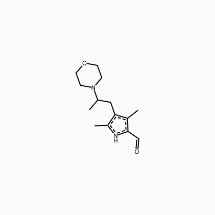 Cc1[nH]c(C=O)c(C)c1CC(C)N1CCOCC1